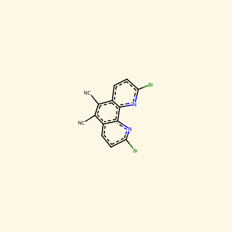 N#Cc1c(C#N)c2ccc(Br)nc2c2nc(Br)ccc12